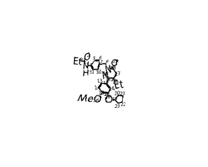 CCC(=O)Nc1ccc(CN2N=C(c3ccc(OC)c(OC4CCCC4)c3)C(CC)CC2=O)cc1